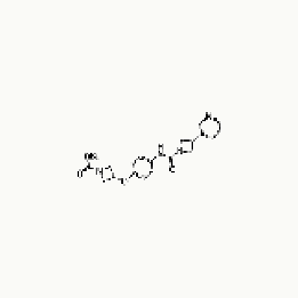 CCCCC(=O)N1CC(Oc2ccc(NC(=O)N3CC(c4cccnc4)C3)cc2)C1